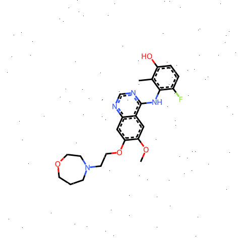 COc1cc2c(Nc3c(F)ccc(O)c3C)ncnc2cc1OCCN1CCCOCC1